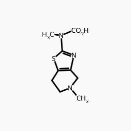 CN1CCc2sc(N(C)C(=O)O)nc2C1